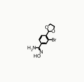 N/C(=N\O)c1ccc(C2OCCO2)c(Br)c1